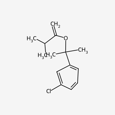 C=C(OC(C)(C)c1cccc(Cl)c1)C(C)C